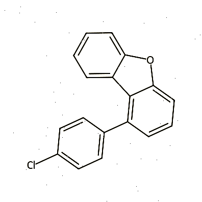 Clc1ccc(-c2cccc3oc4ccccc4c23)cc1